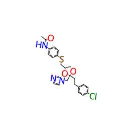 CC(=O)Nc1ccc(SCC2COC(CCc3ccc(Cl)cc3)(Cn3ccnc3)O2)cc1